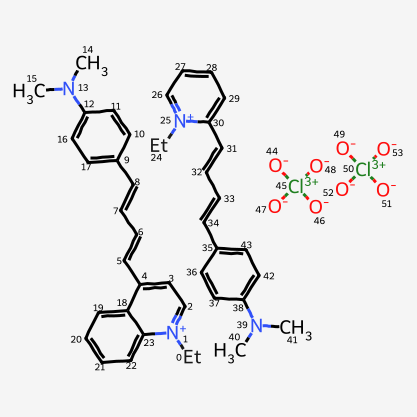 CC[n+]1ccc(C=CC=Cc2ccc(N(C)C)cc2)c2ccccc21.CC[n+]1ccccc1C=CC=Cc1ccc(N(C)C)cc1.[O-][Cl+3]([O-])([O-])[O-].[O-][Cl+3]([O-])([O-])[O-]